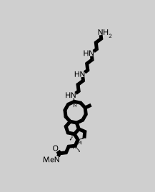 CNC(=O)CC[C@@H](C)[C@H]1CCC2C3CCC(C)C[C@@H](NCCCNCCCNCCCN)CCCC3CC[C@@]21C